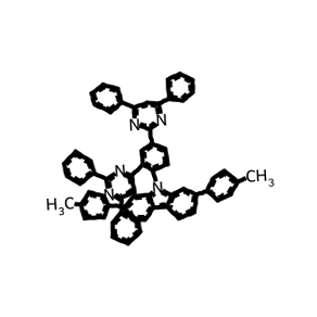 Cc1ccc(-c2ccc3c4ccc(-c5ccc(C)cc5)cc4n(-c4ccc(-c5nc(-c6ccccc6)cc(-c6ccccc6)n5)cc4-c4cc(-c5ccccc5)nc(-c5ccccc5)n4)c3c2)cc1